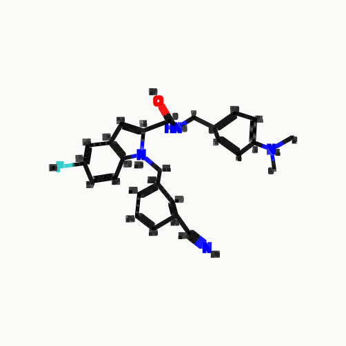 CN(C)c1ccc(CNC(=O)c2cc3cc(F)ccc3n2Cc2cccc(C#N)c2)cc1